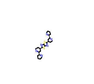 c1ccc(-c2cc(-c3nc4sc(-c5ccnc(-c6ccccn6)c5)nc4s3)ccn2)nc1